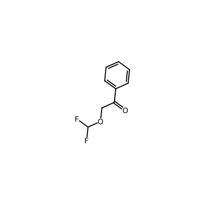 O=C(COC(F)F)c1ccccc1